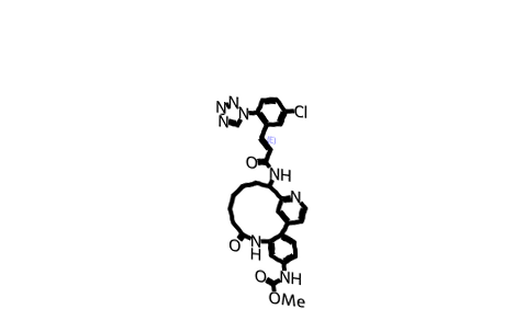 COC(=O)Nc1ccc2c(c1)NC(=O)CCCCCC(NC(=O)/C=C/c1cc(Cl)ccc1-n1cnnn1)c1cc-2ccn1